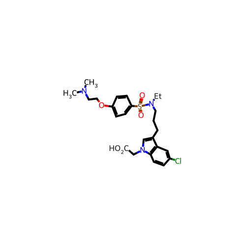 CCN(CCCc1cn(CC(=O)O)c2ccc(Cl)cc12)S(=O)(=O)c1ccc(OCCN(C)C)cc1